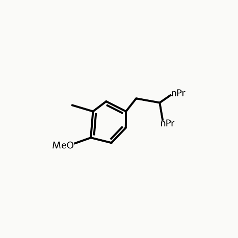 CCCC(CCC)Cc1ccc(OC)c(C)c1